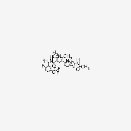 [2H]C(NC(=O)c1cc(-c2ccc3nc(NC(C)=O)cn3n2)c(C)nc1C)c1cc(OC(F)(F)F)ccc1F